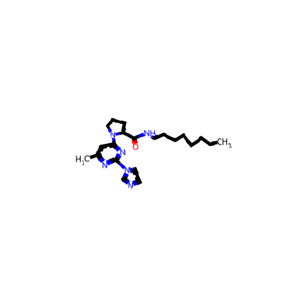 CCCCCCCCNC(=O)C1CCCN1c1cc(C)nc(-n2ccnc2)n1